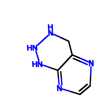 c1cnc2c(n1)CNNN2